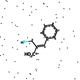 O=C(O)C(=Cc1ccccc1)CF